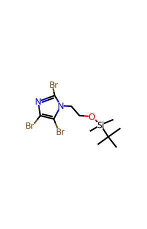 CC(C)(C)[Si](C)(C)OCCn1c(Br)nc(Br)c1Br